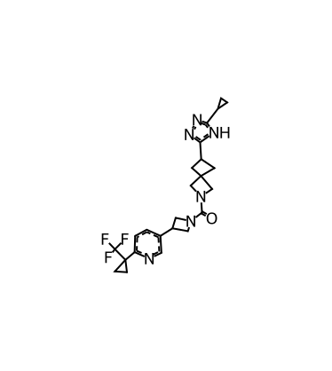 O=C(N1CC(c2ccc(C3(C(F)(F)F)CC3)nc2)C1)N1CC2(CC(c3nnc(C4CC4)[nH]3)C2)C1